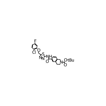 CC(C)(C)OC(=O)N1CCc2cc(C(=O)Nc3nnc(COc4cc(F)ccc4Cl)s3)ccc2C1